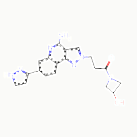 Nc1nc2cc(-c3cc[nH]n3)ccc2c2nn(CCC(=O)N3CC(O)C3)cc12